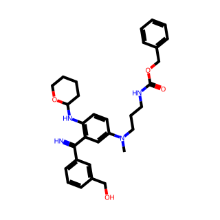 CN(CCCNC(=O)OCc1ccccc1)c1ccc(NC2CCCCO2)c(C(=N)c2cccc(CO)c2)c1